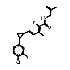 C=C(C)CNC(=O)C(F)=C(C)C=CC1CC1c1ccc(Cl)c(Cl)c1